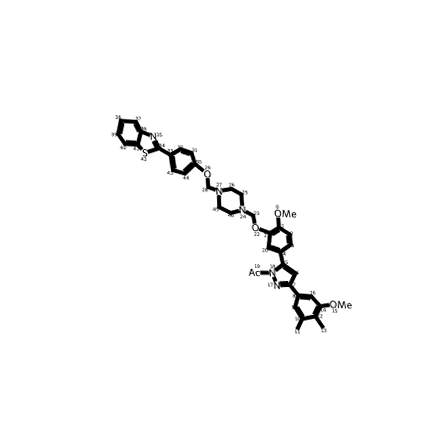 COc1ccc(-c2cc(-c3cc(C)c(C)c(OC)c3)nn2C(C)=O)cc1OCN1CCN(COc2ccc(-c3nc4ccccc4s3)cc2)CC1